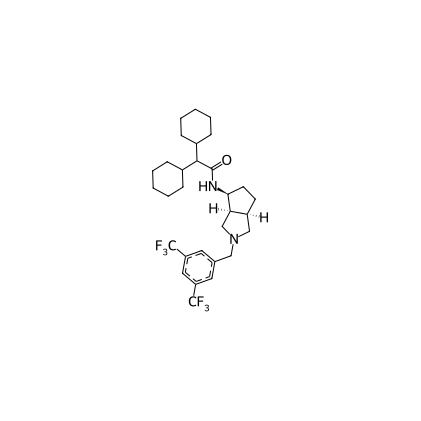 O=C(N[C@H]1CC[C@H]2CN(Cc3cc(C(F)(F)F)cc(C(F)(F)F)c3)C[C@H]21)C(C1CCCCC1)C1CCCCC1